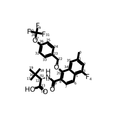 Cc1cc(F)c2ccc(C(=O)N[C@H](C(=O)O)C(C)(C)C)c(OCc3ccc(OC(F)(F)F)cc3)c2c1